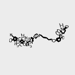 CC1(C)C(NC(=O)c2ncc(N3CCN(CCCCCOc4ccc5c(c4)C(=O)N(C4CCC(=O)NC4=O)C5=O)CC3)cn2)C(C)(C)C1Oc1ccc(C#N)c(Cl)c1